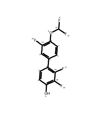 Oc1ccc(-c2ccc(OC(F)F)c(F)c2)c(F)c1F